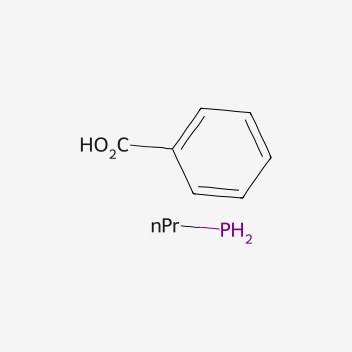 CCCP.O=C(O)c1ccccc1